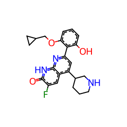 O=c1[nH]c2nc(-c3c(O)cccc3OCC3CC3)cc(C3CCCNC3)c2cc1F